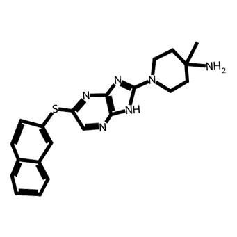 CC1(N)CCN(c2nc3nc(Sc4ccc5ccccc5c4)cnc3[nH]2)CC1